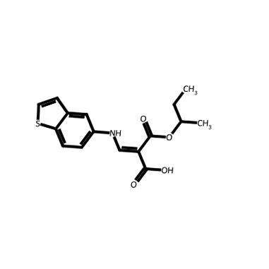 CCC(C)OC(=O)C(=CNc1ccc2sccc2c1)C(=O)O